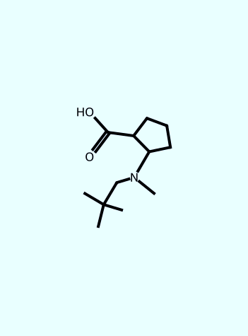 CN(CC(C)(C)C)C1CCCC1C(=O)O